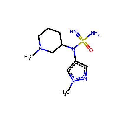 CN1CCCC(N(c2cnn(C)c2)S(=N)(N)=O)C1